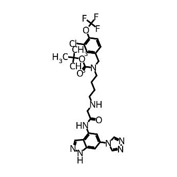 CC(C)(C)OC(=O)N(CCCCNCC(=O)Nc1cc(-n2cnnc2)cc2[nH]ncc12)Cc1ccc(OC(F)(F)F)c(Cl)c1